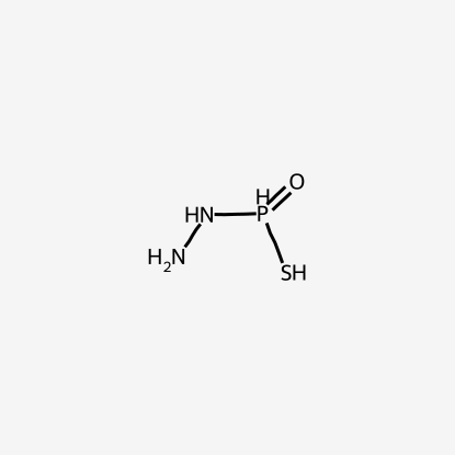 NN[PH](=O)S